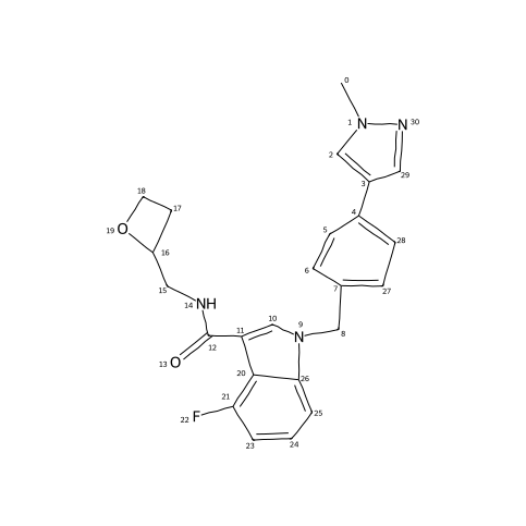 Cn1cc(-c2ccc(Cn3cc(C(=O)NCC4CCO4)c4c(F)cccc43)cc2)cn1